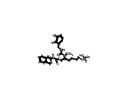 CN(C(=O)NCc1cccc(F)c1F)C(CCCCOP(=O)(O)O)COC(=O)Nc1cc2ccccc2cn1